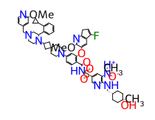 COc1cc(CN2CCN(C3CC4(CCN(c5ccc(C(=O)NS(=O)(=O)c6cnc(NC[C@H]7CC[C@](C)(O)CC7)c([NH+](C)[O-])c6)c(Oc6cc7c(nc6OC)CC=C7F)c5)CC4)C3)C(c3ccccc3C3CC3)C2)ccn1